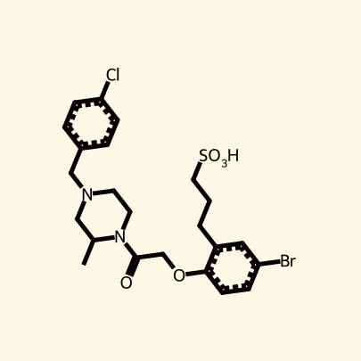 CC1CN(Cc2ccc(Cl)cc2)CCN1C(=O)COc1ccc(Br)cc1CCCS(=O)(=O)O